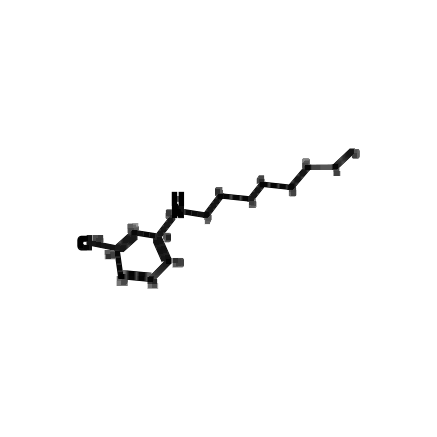 CCCCCCCCNc1cccc(Cl)c1